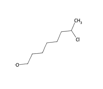 CC(Cl)CCCCCC[O]